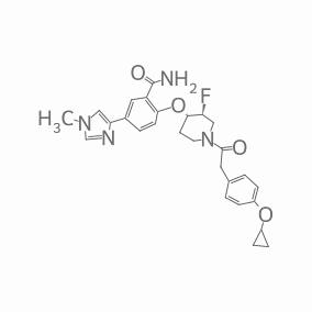 Cn1cnc(-c2ccc(O[C@H]3CCN(C(=O)Cc4ccc(OC5CC5)cc4)C[C@@H]3F)c(C(N)=O)c2)c1